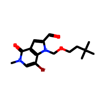 Cn1cc(Br)c2c(cc(C=O)n2COCC[Si](C)(C)C)c1=O